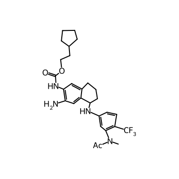 CC(=O)N(C)c1cc(NC2CCCc3cc(NC(=O)OCCC4CCCC4)c(N)cc32)ccc1C(F)(F)F